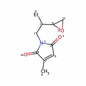 CCC(CN1C(=O)C=C(C)C1=O)C1CO1